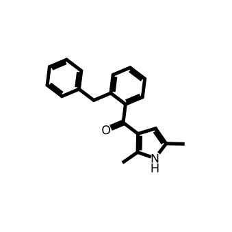 Cc1cc(C(=O)c2ccccc2Cc2ccccc2)c(C)[nH]1